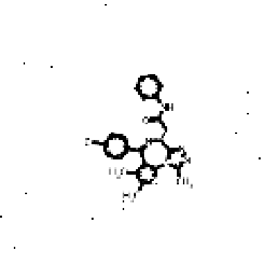 Cc1sc2c(c1C)C(c1ccc(Cl)cc1)=N[C@@H](CC(=O)Nc1ccccc1)c1nnc(C)n1-2